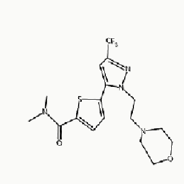 CN(C)C(=O)c1ccc(-c2cc(C(F)(F)F)nn2CCN2CCOCC2)s1